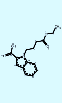 CCOC(=O)CCCn1c(C(=O)O)cc2ccccc21